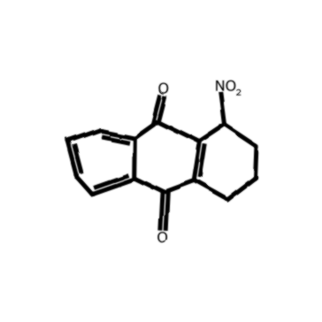 O=C1C2=C(C(=O)c3ccccc31)C([N+](=O)[O-])CCC2